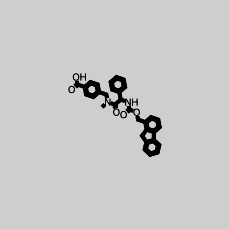 CN(Cc1ccc(C(=O)O)cc1)C(=O)C(NC(=O)OCc1cccc2c1Cc1ccccc1-2)c1ccccc1